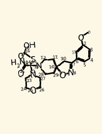 COc1cccc(C2=NOC3(CCN(C(SC(=O)O)(C(N)=O)N4CCOCC4)CC3)C2)c1